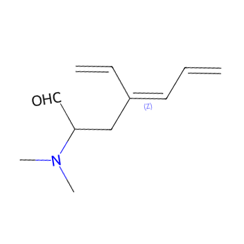 C=C/C=C(\C=C)CC(C=O)N(C)C